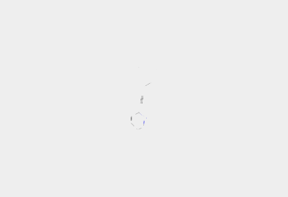 C[C@@H]1CC(C#Cc2ccccn2)=C[C@@H]1C